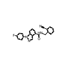 N#Cc1ccccc1CNC(=O)c1cccc2c1cnn2-c1ccc(F)cc1